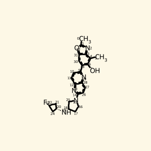 Cc1nc2c(C)c(O)c(-c3ccc4nc(N5CC[C@@H](N[C@H]6C[C@H](F)C6)C5)ccc4n3)cc2o1